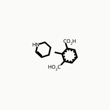 C1=CNCCC1.Cc1c(C(=O)O)cccc1C(=O)O